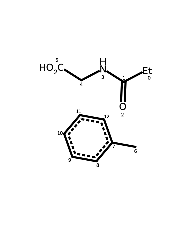 CCC(=O)NCC(=O)O.Cc1ccccc1